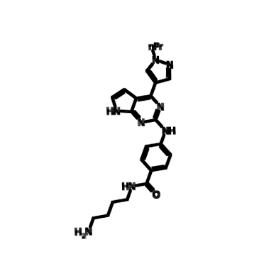 CCCn1cc(-c2nc(Nc3ccc(C(=O)NCCCCN)cc3)nc3[nH]ccc23)cn1